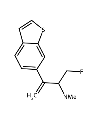 C=C(c1ccc2ccsc2c1)C(CF)NC